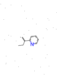 [CH]=C(CC)c1ccccn1